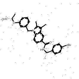 Cc1c(C)n(Cc2cccc(O[C@@H](C)C=O)c2)c2ccc(C(=O)N[C@@H](C)c3ccc(C(C)(C)C)cc3)cc12